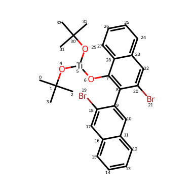 CC(C)(C)[O][Ti]([O]c1c(-c2cc3ccccc3cc2Br)c(Br)cc2ccccc12)[O]C(C)(C)C